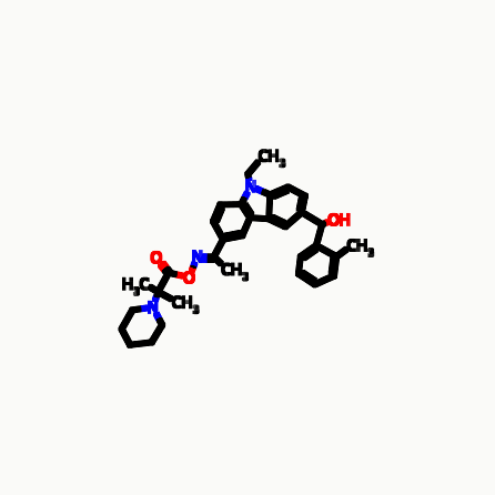 CCn1c2ccc(/C(C)=N/OC(=O)C(C)(C)N3CCCCC3)cc2c2cc(C(O)c3ccccc3C)ccc21